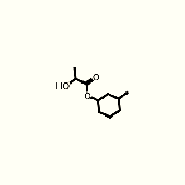 CC1CCCC(OC(=O)C(C)O)C1